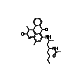 CCCCC(CC(C)Nc1cc(C)c2c3c1C(=O)c1ccccc1C=3C(C)C(=O)N=2)NC(C)=O